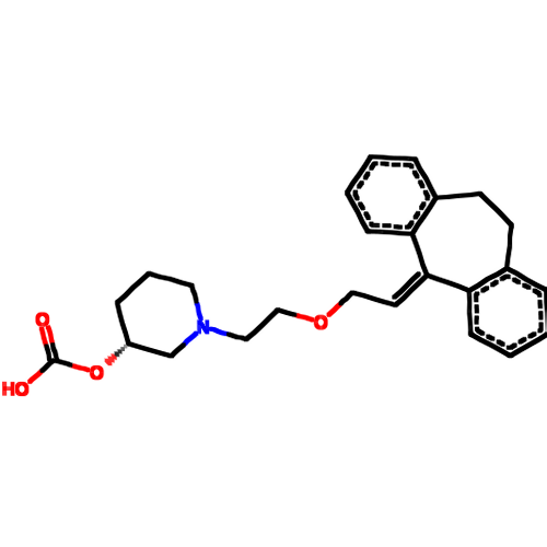 O=C(O)O[C@@H]1CCCN(CCOCC=C2c3ccccc3CCc3ccccc32)C1